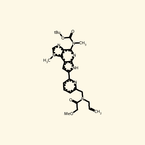 C=CCN(Cc1cccc(-c2cc3c(nc(N(C)C(=O)OC(C)(C)C)c4ncn(C)c43)[nH]2)n1)C(=O)COC